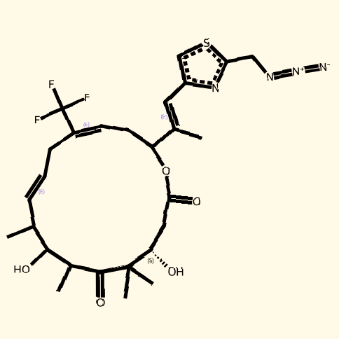 C/C(=C\c1csc(CN=[N+]=[N-])n1)C1C/C=C(/C(F)(F)F)C/C=C/C(C)C(O)C(C)C(=O)C(C)(C)[C@@H](O)CC(=O)O1